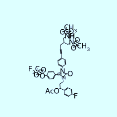 CC(=O)OC(CC[C@H]1C(=O)N(c2ccc(C#CCC(CNS(C)(=O)=O)CNS(C)(=O)=O)cc2)[C@@H]1c1ccc(OS(=O)(=O)C(F)(F)F)cc1)c1ccc(F)cc1